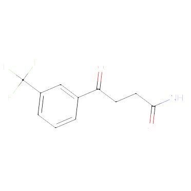 NC(=O)CCC(=O)c1cccc(C(F)(F)F)c1